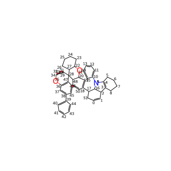 C1=CC2C3=C(CCCC3)N(c3ccccc3)C2C(C2=CC3OC4CCCCC4C4(c5ccccc5Oc5cc(-c6ccccc6)ccc54)C3C=C2)C1